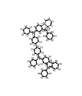 CC12C=CC=CC1c1ccc(N(c3ccccc3)c3ccc(-c4ccc(N(c5ccccc5)c5ccc6c7ccccc7n(-c7ccccc7)c6c5)cc4)cc3)cc1N2c1ccccc1